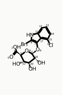 O=C(O)[C@H]1O[C@@H](Oc2c(Br)[nH]c3cccc(Cl)c23)[C@H](O)[C@@H](O)[C@@H]1O